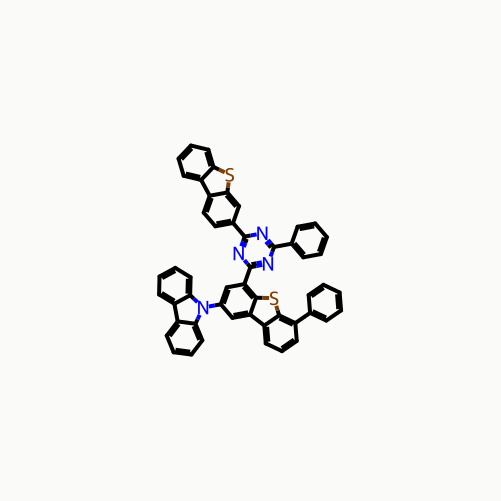 c1ccc(-c2nc(-c3ccc4c(c3)sc3ccccc34)nc(-c3cc(-n4c5ccccc5c5ccccc54)cc4c3sc3c(-c5ccccc5)cccc34)n2)cc1